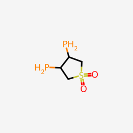 O=S1(=O)CC(P)C(P)C1